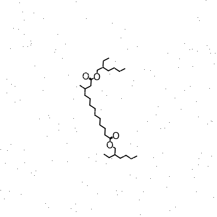 CCCCC(CC)COC(=O)CCCCCCCCCC(C)CC(=O)OCC(CC)CCCC